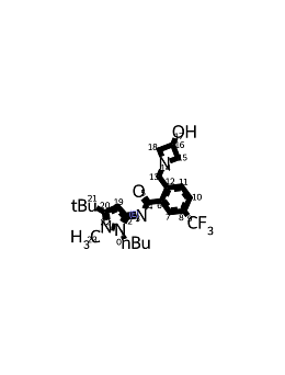 CCCCn1/c(=N/C(=O)c2cc(C(F)(F)F)ccc2CN2CC(O)C2)cc(C(C)(C)C)n1C